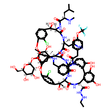 CCNNC(=O)[C@@H]1NC(=O)[C@H]2NC(=O)[C@H](NC(=O)[C@@H]3NC(=O)[C@H](CC(N)=O)NC(=O)[C@H](NC(=O)[C@@H](CC(C)C)NC)[C@H](O)c4ccc(c(Cl)c4)Oc4cc3cc(c4O[C@@H]3O[C@H](CO)[C@@H](O)[C@H](O)[C@H]3O[C@H]3C[C@](C)(NCc4cccc(NC(=O)Cc5ccc(OC(F)(F)F)cc5)c4)[C@H](O)[C@H](C)O3)Oc3ccc(cc3Cl)[C@H]2O)c2ccc(O)c(c2)-c2c(O)cc(O)cc21